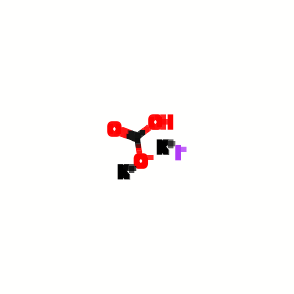 O=C([O-])O.[I-].[K+].[K+]